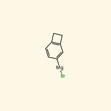 [Br][Mg][c]1ccc2c(c1)CC2